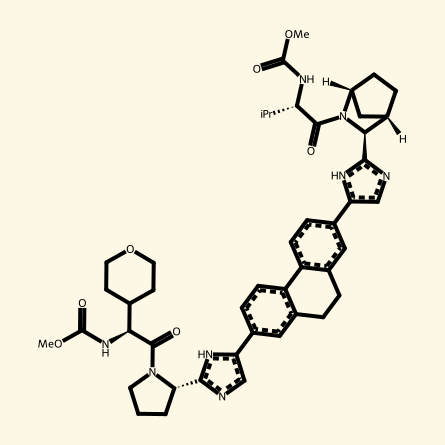 COC(=O)N[C@H](C(=O)N1[C@@H]2CC[C@@H](C2)[C@H]1c1ncc(-c2ccc3c(c2)CCc2cc(-c4cnc([C@@H]5CCCN5C(=O)[C@@H](NC(=O)OC)C5CCOCC5)[nH]4)ccc2-3)[nH]1)C(C)C